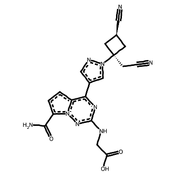 N#CC[C@]1(n2cc(-c3nc(NCC(=O)O)nn4c(C(N)=O)ccc34)cn2)C[C@@H](C#N)C1